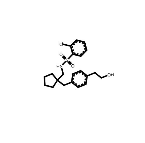 O=S(=O)(NCC1(Cc2ccc(CCO)cc2)CCCC1)c1ccccc1Cl